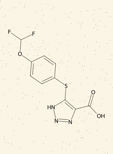 O=C(O)c1nn[nH]c1Sc1ccc(OC(F)F)cc1